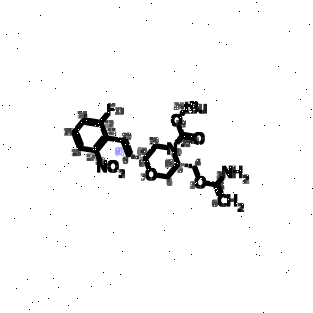 C=C(N)OC[C@@H]1CO[C@H](/C=C/c2c(F)cccc2[N+](=O)[O-])CN1C(=O)OC(C)(C)C